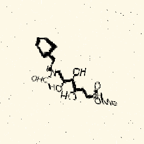 CO[PH](=O)CC[C@@H](O)[C@@H](O)[C@@H](O)CN(C=O)OCc1ccccc1